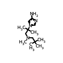 CN(CC(C)(C)C)CC(C)(C)n1cnc(N)c1